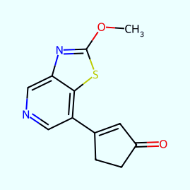 COc1nc2cncc(C3=CC(=O)CC3)c2s1